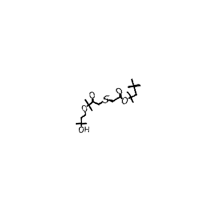 CC(C)(C)CC(C)(C)OC(=O)CSCC(=O)C(C)(C)OCCC(C)(C)O